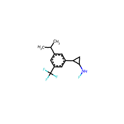 CC(C)c1cc(C2CC2NF)cc(C(F)(F)F)c1